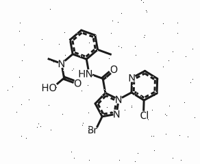 Cc1cccc(N(C)C(=O)O)c1NC(=O)c1cc(Br)nn1-c1ncccc1Cl